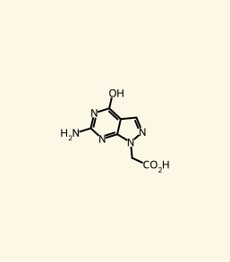 Nc1nc(O)c2cnn(CC(=O)O)c2n1